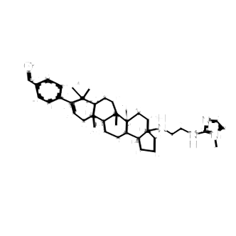 Cn1ccnc1NCCNC12CCCC1C1CCC3C4(C)CC=C(c5ccc(C=O)cc5)C(C)(C)C4CCC3(C)[C@]1(C)CC2